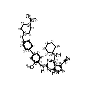 COc1cc(-c2ccc(CN3CCN(C(C)=O)CC3)cc2)ccc1Nc1nc(NC2CCCCC2)c2c(C#N)c[nH]c2n1